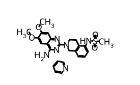 COc1cc2nc(N3CCc4c(cccc4NS(C)(=O)=O)C3)nc(N)c2cc1OC.c1ccncc1